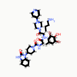 NCCCC[C@H](NC(=O)[C@H](Cc1cc(Br)c(O)c(Br)c1)NC(=O)N1CCC(n2c(=O)[nH]c3ccccc32)CC1)C(=O)N1CCN(c2ccncc2)CC1